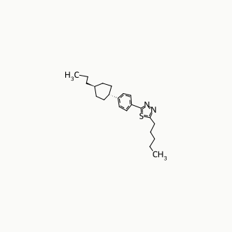 CCCCCc1nnc(-c2ccc([C@H]3CC[C@H](CCC)CC3)cc2)s1